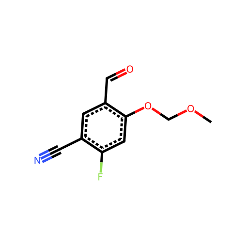 COCOc1cc(F)c(C#N)cc1C=O